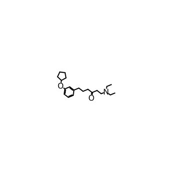 CCN(CC)CCC(=O)CCCc1cccc(OC2CCCC2)c1